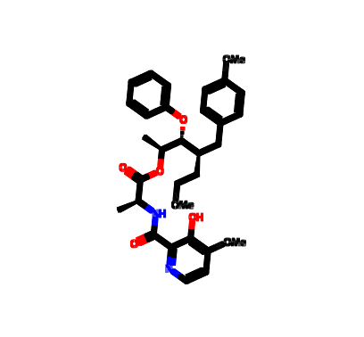 COCC[C@H](Cc1ccc(OC)cc1)[C@@H](Oc1ccccc1)[C@H](C)OC(=O)[C@H](C)NC(=O)c1nccc(OC)c1O